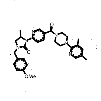 COc1ccc(CN2CC(C)N(c3ccc(C(=O)N4CCN(c5ncc(C)cc5C)CC4)cn3)C2=O)cc1